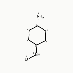 CCN[C@H]1CC[C@H](N)CC1